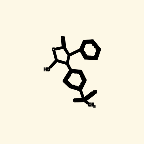 CS(=O)(=O)c1ccc(C2C(O)OC(=O)C2c2ccccc2)cc1